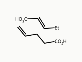 C=CCCC(=O)O.CCC=CC(=O)O